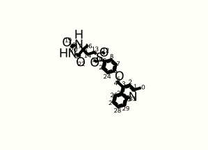 Cc1cc(COc2ccc(S(=O)(=O)CCC3(C)NC(=O)NC3=O)cc2)c2ccccc2n1